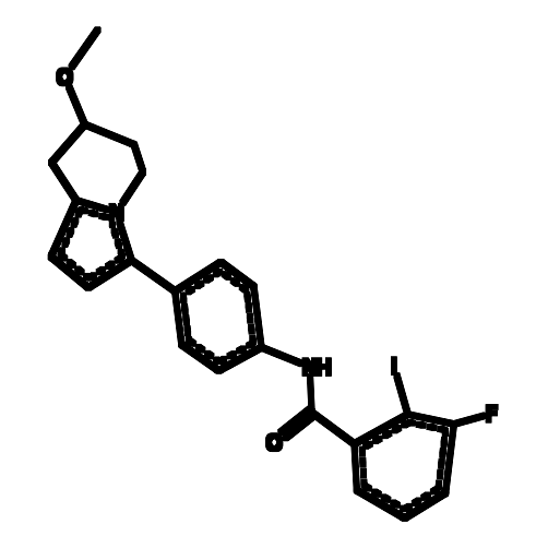 COC1CCn2c(ccc2-c2ccc(NC(=O)c3cccc(F)c3I)cc2)C1